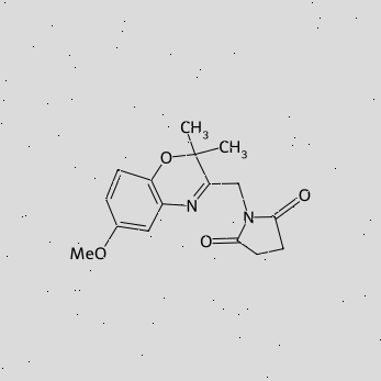 COc1ccc2c(c1)N=C(CN1C(=O)CCC1=O)C(C)(C)O2